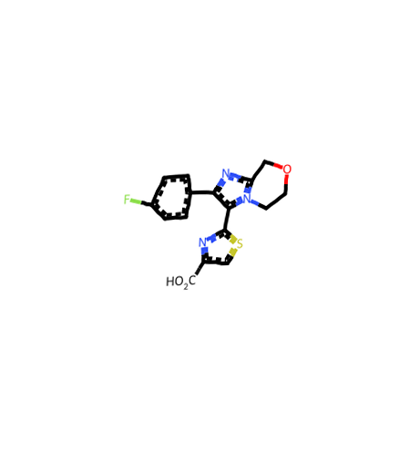 O=C(O)c1csc(-c2c(-c3ccc(F)cc3)nc3n2CCOC3)n1